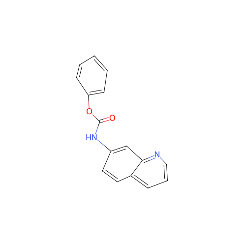 O=C(Nc1ccc2cccnc2c1)Oc1ccccc1